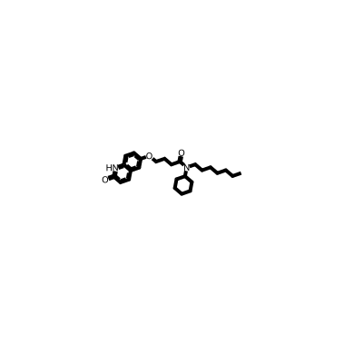 CCCCCCCN(C(=O)CCCOc1ccc2[nH]c(=O)ccc2c1)C1CCCCC1